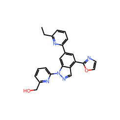 CCc1cccc(-c2cc(-c3ncco3)c3cnn(-c4cccc(CO)n4)c3c2)n1